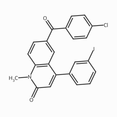 Cn1c(=O)cc(-c2cccc(I)c2)c2cc(C(=O)c3ccc(Cl)cc3)ccc21